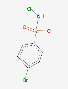 O=S(=O)(NCl)c1ccc(Br)cc1